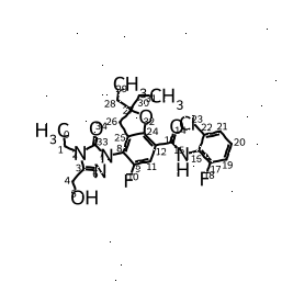 CCn1c(CO)nn(-c2c(F)cc(C(=O)Nc3c(F)cccc3Cl)c3c2CC(CC)(CC)O3)c1=O